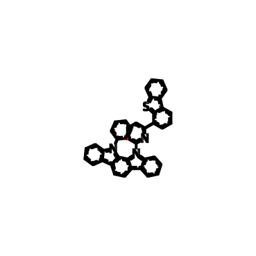 c1ccc(-n2c3ccccc3c3ccc4c5ccccc5n(-c5cccc(-c6cccc7c6sc6ccccc67)n5)c4c32)cc1